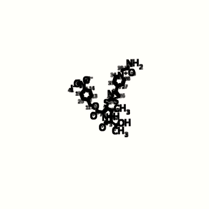 CC(O)[C@H]1C(=O)N2C(C(=O)OCc3ccc([N+](=O)[O-])cc3)=C(Sc3nc(-c4cc[n+](CC(N)=O)cc4)cs3)[C@H](C)[C@H]12.[I-]